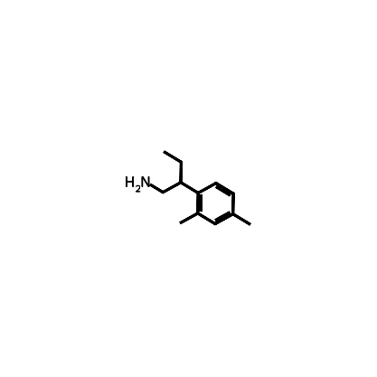 CCC(CN)c1ccc(C)cc1C